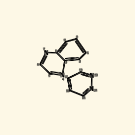 c1ccc2nccnc2c1.c1ccnnc1